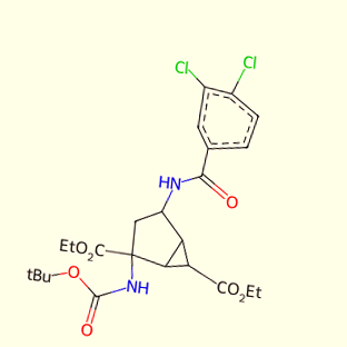 CCOC(=O)C1C2C(NC(=O)c3ccc(Cl)c(Cl)c3)CC(NC(=O)OC(C)(C)C)(C(=O)OCC)C12